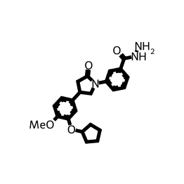 COc1ccc(C2CC(=O)N(c3cccc(C(=O)NN)c3)C2)cc1OC1CCCC1